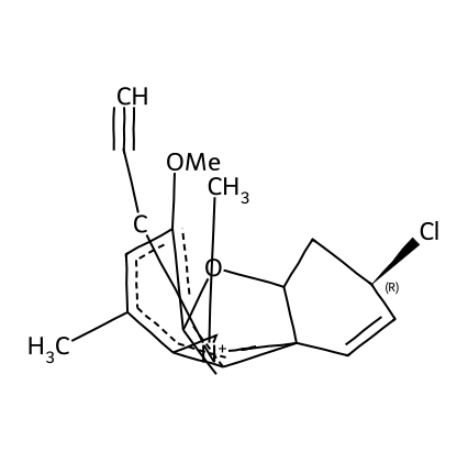 C#CC[N+]1(C)CCC23C=C[C@H](Cl)CC2Oc2c(OC)cc(C)c(c23)C1